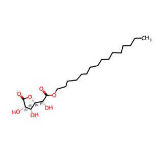 CCCCCCCCCCCCCCCCOC(=O)[C@H](O)[C@H]1OC(=O)[C@@H](O)[C@H]1O